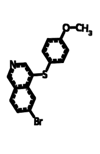 COc1ccc(Sc2cncc3ccc(Br)cc23)cc1